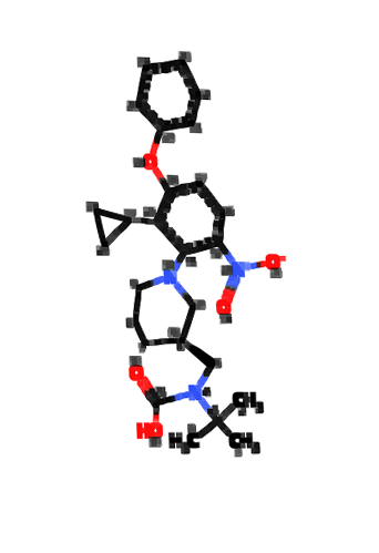 CC(C)(C)N(C[C@H]1CCCN(c2c([N+](=O)[O-])ccc(Oc3ccccc3)c2C2CC2)C1)C(=O)O